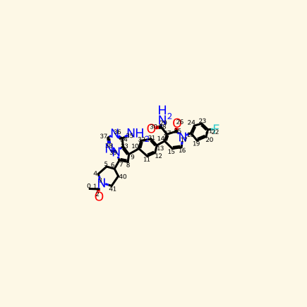 CC(=O)N1CCC(c2cc(-c3ccc(-c4ccn(-c5ccc(F)cc5)c(=O)c4C(N)=O)cc3)c3c(N)ncnn23)CC1